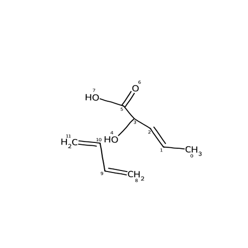 C/C=C/C(O)C(=O)O.C=CC=C